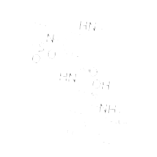 CCNc1cc(C(=O)N[C@@H](Cc2ccccc2)[C@H](O)CNC2CCCCC2(C)C)cc(N2CCCCS2(=O)=O)c1